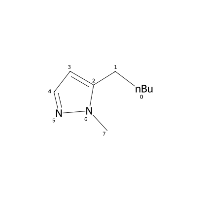 CCCCCc1ccnn1C